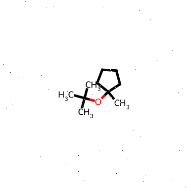 CC(C)(C)OC1(C)CCCC1